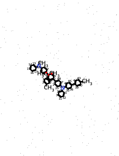 CC1=CC2c3c(-c4ccc(N(C)c5ccccc5)cc4)ccc(-c4ccc(N(c5ccccc5)c5ccc(-c6ccc(C)cc6)cc5)cc4)c3C1CC2C(C)C